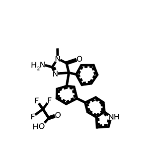 CN1C(=O)C(c2ccccc2)(c2cccc(-c3ccc4[nH]ccc4c3)c2)N=C1N.O=C(O)C(F)(F)F